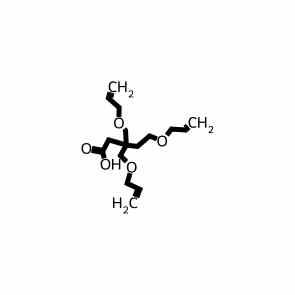 C=CCOCCC(COCC=C)(COCC=C)CC(=O)O